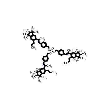 CCCc1cc2c(cc1/C(C)=C/c1ccc(COP(=O)(OCc3ccc(/C=C(\C)c4cc5c(cc4CCC)C(C)(C)C(C)C5(C)C)cc3)OCc3ccc(/C=C(\C)c4cc5c(cc4CCC)C(C)(C)C(C)C5(C)C)cc3)cc1)C(C)(C)C(C)C2(C)C